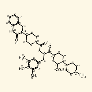 CCOC(=O)C1CN(C(=O)C(CC(=O)N2CCC(N3Cc4ccccc4NC3=O)CC2)Cc2cc(C)c(O)c(C)c2)CCN1C1CCN(C)CC1